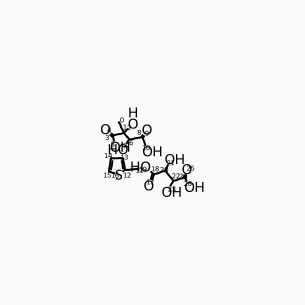 CC(O)(C(=O)O)C(O)C(=O)O.Cc1cccs1.O=C(O)C(O)C(O)C(=O)O